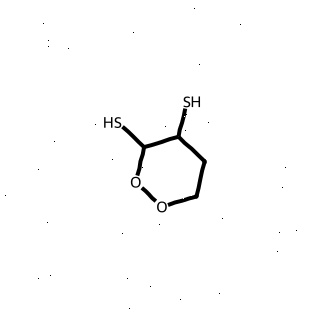 SC1CCOOC1S